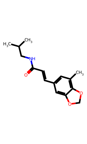 Cc1cc(/C=C/C(=O)NCC(C)C)cc2c1OCO2